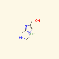 Cl.OCc1cn2c(n1)CNCC2